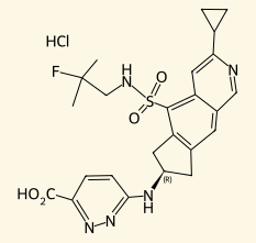 CC(C)(F)CNS(=O)(=O)c1c2c(cc3cnc(C4CC4)cc13)C[C@@H](Nc1ccc(C(=O)O)nn1)C2.Cl